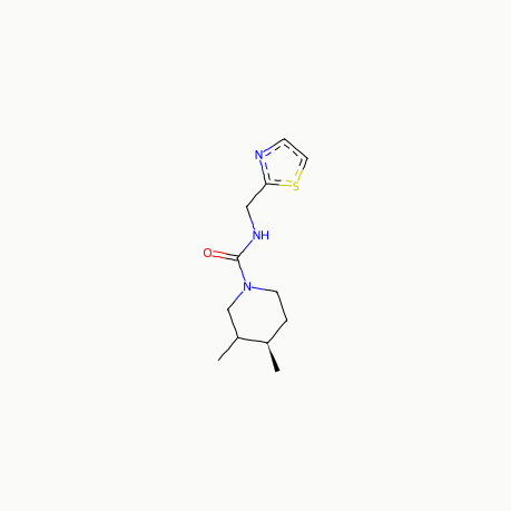 CC1CN(C(=O)NCc2nccs2)CC[C@H]1C